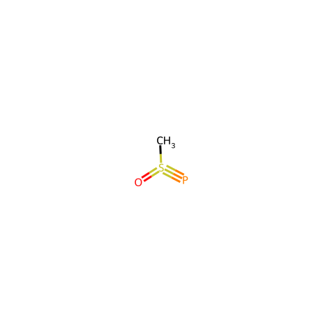 CS(=O)#P